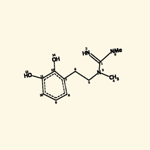 CNC(=N)N(C)CCc1cccc(O)c1O